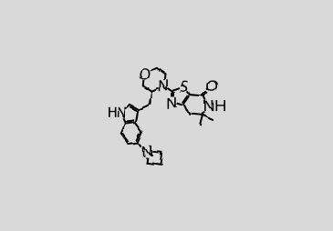 CC1(C)Cc2nc(N3CCOC[C@@H]3Cc3c[nH]c4ccc(N5CCC5)cc34)sc2C(=O)N1